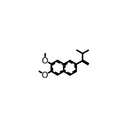 C=C(c1ccc2cc(OC)c(OC)cc2c1)C(C)C